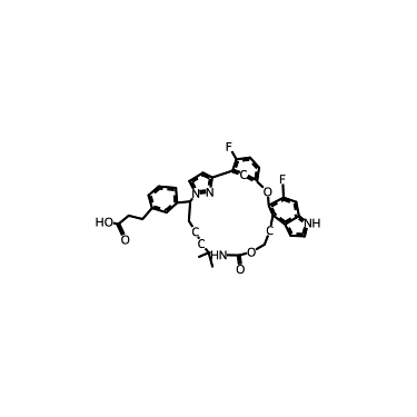 CC1(C)CCCC(c2cccc(CCC(=O)O)c2)n2ccc(n2)-c2cc(ccc2F)Oc2c(F)cc3[nH]ccc3c2CCOC(=O)N1